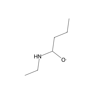 CCCC([O])NCC